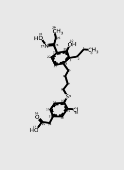 CCCc1c(CCCCSc2ccc(CC(=O)O)cc2Cl)ccc(C(CC)=NO)c1O